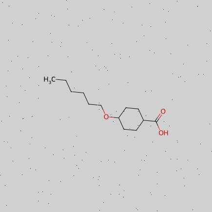 CCCCCCOC1CCC(C(=O)O)CC1